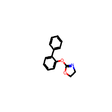 c1ccc(-c2ccccc2OC2=NCCO2)cc1